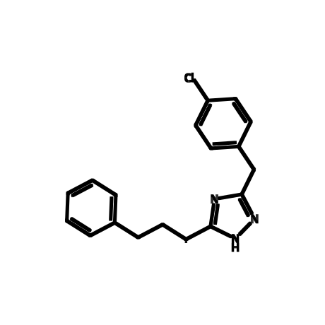 Clc1ccc(Cc2n[nH]c([CH]CCc3ccccc3)n2)cc1